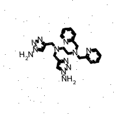 Nn1cc(CN(CCN(Cc2ccccn2)Cc2ccccn2)Cc2cn(N)nn2)nn1